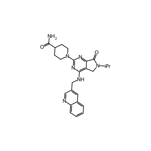 CC(C)N1Cc2c(NCc3cnc4ccccc4c3)nc(N3CCC(C(N)=O)CC3)nc2C1=O